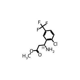 COC(=O)C[C@H](N)c1cc(C(F)(F)F)ccc1Cl